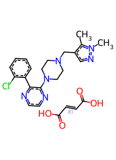 Cc1c(CN2CCN(c3nccnc3-c3ccccc3Cl)CC2)cnn1C.O=C(O)/C=C/C(=O)O